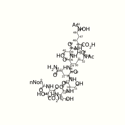 CCCCCCCCCC(=O)NC(C(=O)NC(CO)C(=O)NC(CO)C(=O)NC(CCC(N)=O)C(=O)NC(CCCN(O)C(C)=O)C(=O)NC(CO)C(=O)NC(CCCN(O)C(C)=O)C(=O)O)C(O)C(=O)O